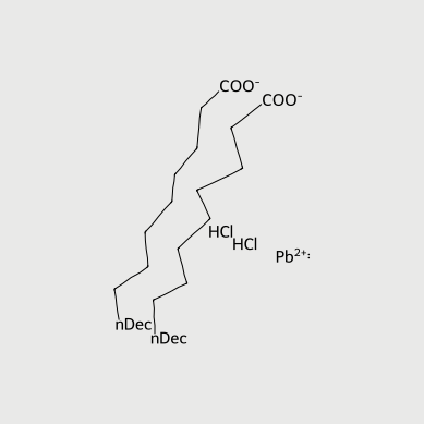 CCCCCCCCCCCCCCCCCC(=O)[O-].CCCCCCCCCCCCCCCCCC(=O)[O-].Cl.Cl.[Pb+2]